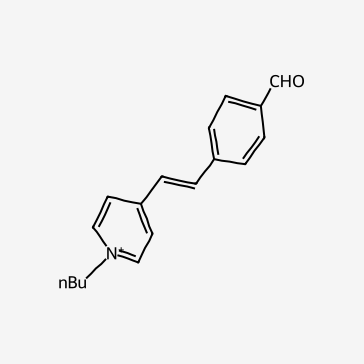 CCCC[n+]1ccc(/C=C/c2ccc(C=O)cc2)cc1